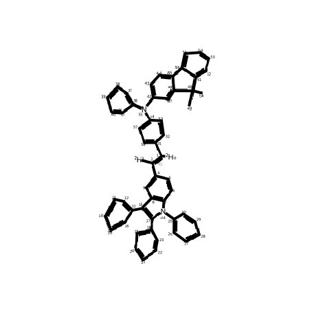 [2H]/C(=C(/[2H])c1ccc2c(c1)c(-c1ccccc1)c(-c1ccccc1)n2-c1ccccc1)c1ccc(N(c2ccccc2)c2ccc3c(c2)C(C)(C)c2ccccc2-3)cc1